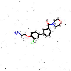 NCCOc1ccc(-c2cccc(C(=O)N3CCOCC3)c2)cc1Cl